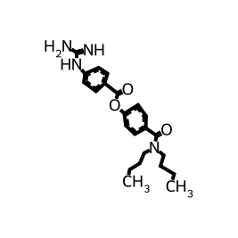 CCCCN(CCCC)C(=O)c1ccc(OC(=O)c2ccc(NC(=N)N)cc2)cc1